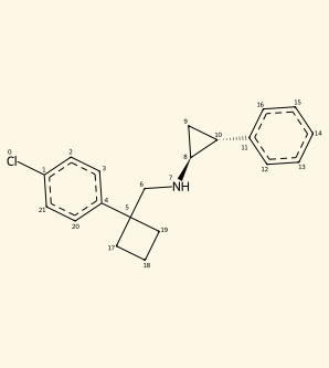 Clc1ccc(C2(CN[C@H]3C[C@@H]3c3ccccc3)CCC2)cc1